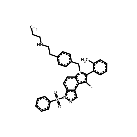 CCCNCCc1ccc(Cn2c(-c3ccccc3C)c(F)c3c4cnn(S(=O)(=O)c5ccccc5)c4ccc32)cc1